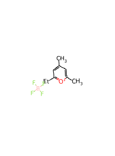 CCc1cc(C)cc(C)[o+]1.F[B-](F)(F)F